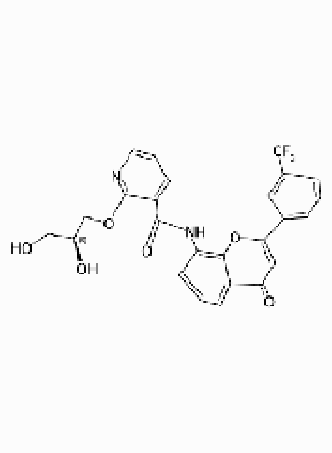 O=C(Nc1cccc2c(=O)cc(-c3cccc(C(F)(F)F)c3)oc12)c1cccnc1OC[C@@H](O)CO